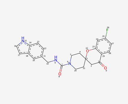 O=C1CC2(CCN(C(=O)NCc3ccc4[nH]ccc4c3)CC2)Oc2cc(F)ccc21